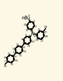 CCCCc1ccc(N(c2ccc(-c3ccc(-c4ccc(C)cc4)cc3)cc2)c2cccc(C)c2)cc1